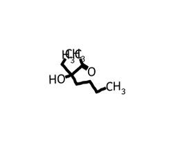 CCCCC(O)(CC)C(C)=O